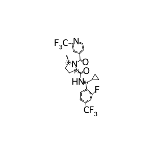 C[C@@H]1CC[C@H](C(=O)N[C@@H](c2ccc(C(F)(F)F)cc2F)C2CC2)N1C(=O)c1ccnc(C(F)(F)F)c1